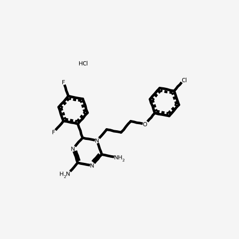 Cl.NC1=NC(c2ccc(F)cc2F)N(CCCOc2ccc(Cl)cc2)C(N)=N1